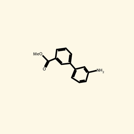 COC(=O)c1cccc(-c2cccc(N)c2)c1